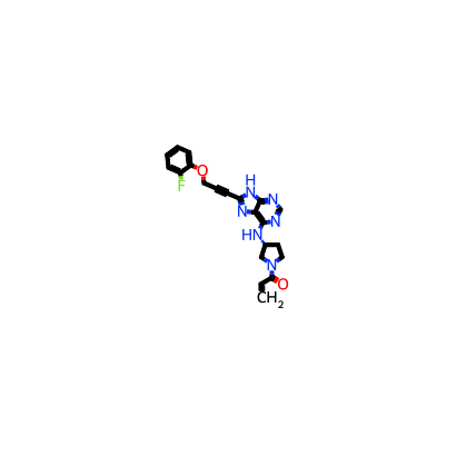 C=CC(=O)N1CC[C@H](Nc2ncnc3[nH]c(C#CCOc4ccccc4F)nc23)C1